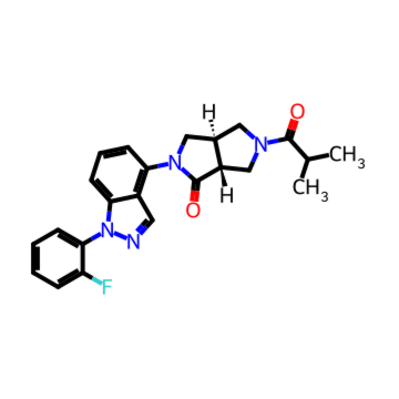 CC(C)C(=O)N1C[C@@H]2CN(c3cccc4c3cnn4-c3ccccc3F)C(=O)[C@H]2C1